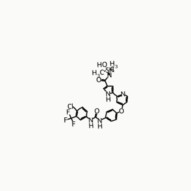 C[SH](C)(O)=NC(=O)c1c[nH]c(-c2cc(Oc3ccc(NC(=O)Nc4ccc(Cl)c(C(F)(F)F)c4)cc3)ccn2)c1